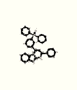 O=P(c1ccccc1)(c1ccccc1)c1cccc(-c2cc(-c3ccccc3)nc3nc4ccccc4n23)c1